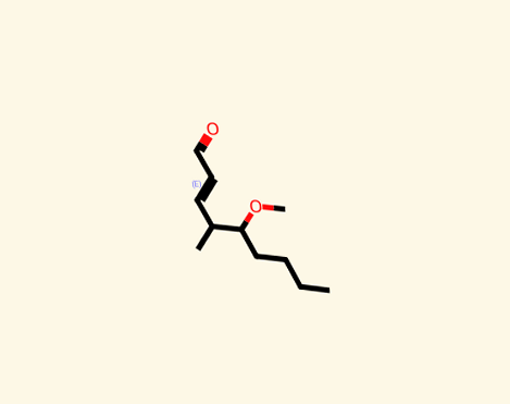 CCCCC(OC)C(C)/C=C/C=O